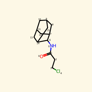 O=C(CCCl)NC1C2CC3CC(C2)CC1C3